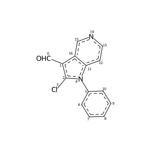 O=Cc1c(Cl)n(-c2ccccc2)c2ccncc12